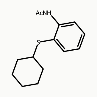 CC(=O)Nc1ccccc1SC1CCCCC1